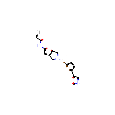 C=CC(=O)Nc1cc2c(o1)CN(S(=O)(=O)c1ccc(-c3cnco3)s1)C2